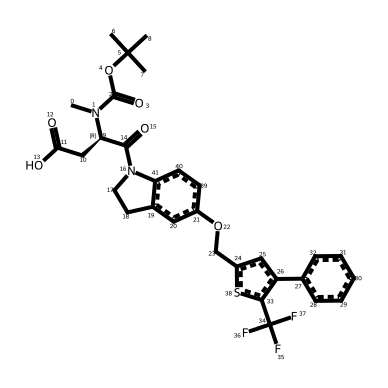 CN(C(=O)OC(C)(C)C)[C@H](CC(=O)O)C(=O)N1CCc2cc(OCc3cc(-c4ccccc4)c(C(F)(F)F)s3)ccc21